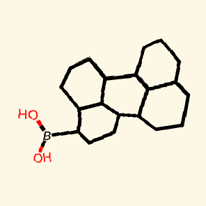 OB(O)C1CCC2C3CCCC4CCCC(C5CCCC1C52)C43